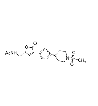 CC(=O)NC[C@H]1C=C(c2ccc(N3CCN(S(C)(=O)=O)CC3)cc2)C(=O)O1